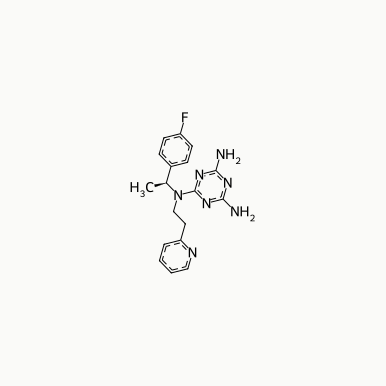 C[C@@H](c1ccc(F)cc1)N(CCc1ccccn1)c1nc(N)nc(N)n1